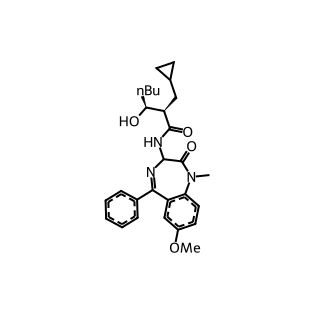 CCCC[C@H](O)[C@@H](CC1CC1)C(=O)NC1N=C(c2ccccc2)c2cc(OC)ccc2N(C)C1=O